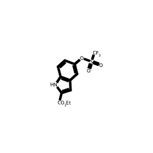 CCOC(=O)c1cc2cc(OS(=O)(=O)C(F)(F)F)ccc2[nH]1